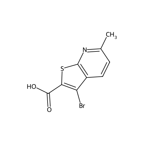 Cc1ccc2c(Br)c(C(=O)O)sc2n1